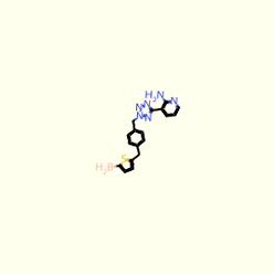 Bc1ccc(Cc2ccc(Cn3nnc(-c4cccnc4N)n3)cc2)s1